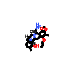 C=CCOc1c(C)c2c(c3c1CC1[C@H]4c5c(ccc(C)c5O)C[C@H]([C@H](C#N)N1[C@H]3CN)N4C)OCO2